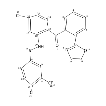 O=C(c1ccccc1-c1ncco1)c1ncc(Cl)cc1NSc1ccc(Cl)c(C(F)(F)F)c1